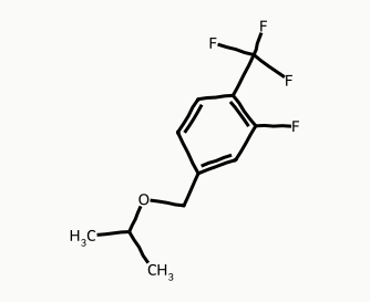 CC(C)OCc1ccc(C(F)(F)F)c(F)c1